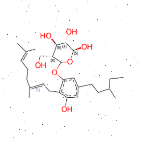 CCC(C)CCc1cc(O)c(C/C=C(\C)CCC=C(C)C)c(OC2O[C@H](O)[C@@H](O)[C@H](O)[C@H]2CO)c1